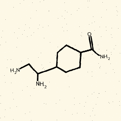 NCC(N)C1CCC(C(N)=O)CC1